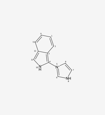 c1ccc2c(-[n+]3cc[nH]c3)[nH]cc2c1